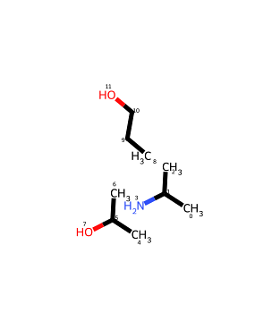 CC(C)N.CC(C)O.CCCO